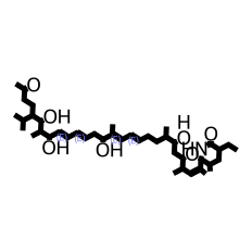 CCC1CC(C)C2(NC1=O)OC(CC(O)C(C)CC/C=C/C=C(\C)C(O)C/C=C/C=C/C(O)C(C)C(O)C(CCC(C)=O)C(C)C)C(C)C=C2C